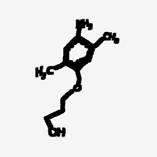 Cc1cc(OCCCO)c(C)cc1N